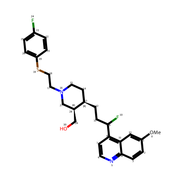 COc1ccc2nccc(C(F)CC[C@@H]3CCN(CCSc4ccc(F)cc4)C[C@@H]3CO)c2c1